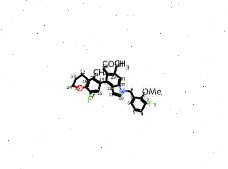 COc1c(F)cccc1Cn1ccc2c(-c3cc(F)c4c(c3C)CCCO4)c(CC(=O)O)c(C)cc21